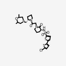 CC1CN(C[C@@H]2CCCN2C(=O)CN2CCC[C@H](NS(=O)(=O)c3ccc(-c4ccc(Cl)s4)s3)C2=O)CC(C)O1